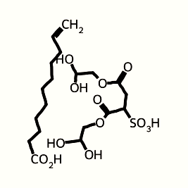 C=CCCCCCCCCC(=O)O.O=C(CC(C(=O)OCC(O)O)S(=O)(=O)O)OCC(O)O